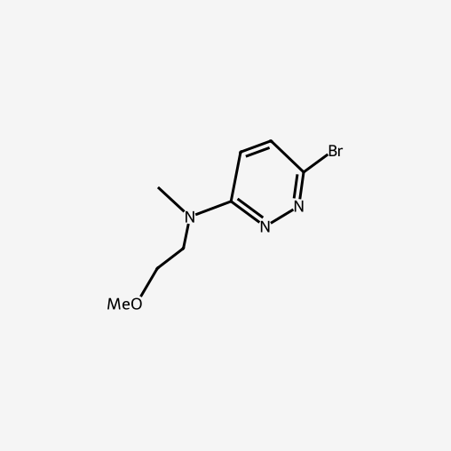 COCCN(C)c1ccc(Br)nn1